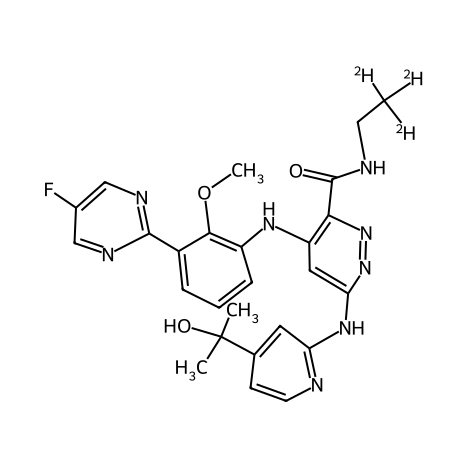 [2H]C([2H])([2H])CNC(=O)c1nnc(Nc2cc(C(C)(C)O)ccn2)cc1Nc1cccc(-c2ncc(F)cn2)c1OC